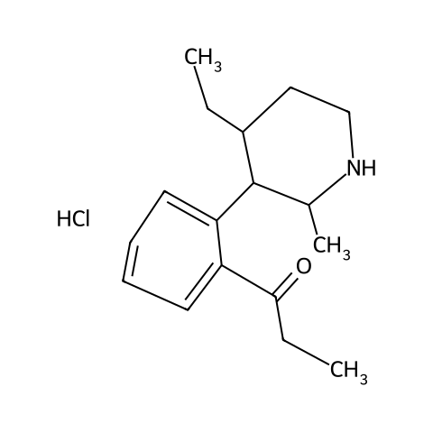 CCC(=O)c1ccccc1C1C(CC)CCNC1C.Cl